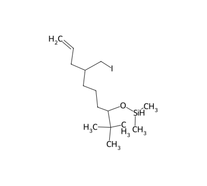 C=CCC(CI)CCCC(O[SiH](C)C)C(C)(C)C